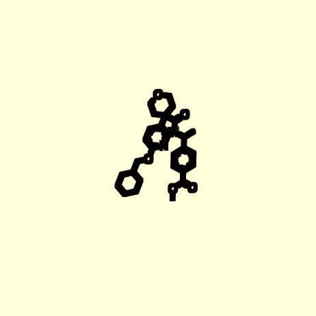 COC(=O)c1ccc(C(C)NC(=O)C2(c3ccc(OCC4CCCCC4)nc3)CCOCC2)cc1